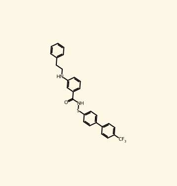 O=C(NSc1ccc(-c2ccc(C(F)(F)F)cc2)cc1)c1cccc(NCCc2ccccc2)c1